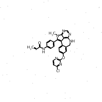 C=CC(=O)Nc1ccc(-c2c3c4c(ncnc4n2C)NCc2cc(Oc4nccc(Cl)n4)ccc2-3)cc1